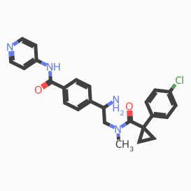 CN(CC(N)c1ccc(C(=O)Nc2ccncc2)cc1)C(=O)C1(c2ccc(Cl)cc2)CC1